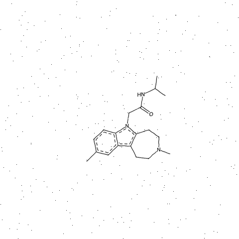 Cc1ccc2c(c1)c1c(n2CC(=O)NC(C)C)CCN(C)CC1